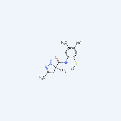 [C-]#[N+]c1cc(SCC)c(NC(=O)C2(C)CC(C(F)(F)F)=NN2)cc1C(F)(F)F